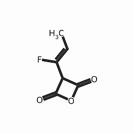 CC=C(F)C1C(=O)OC1=O